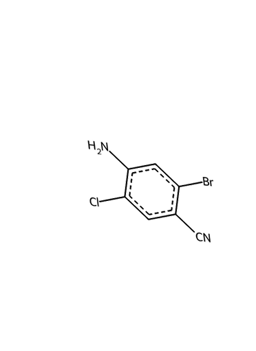 N#Cc1cc(Cl)c(N)cc1Br